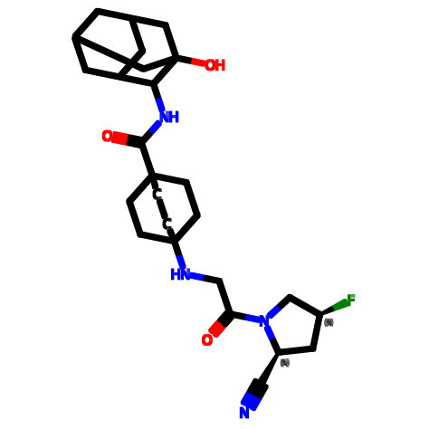 N#C[C@@H]1C[C@H](F)CN1C(=O)CNC12CCC(C(=O)NC3C4CC5CC(C4)CC3(O)C5)(CC1)CC2